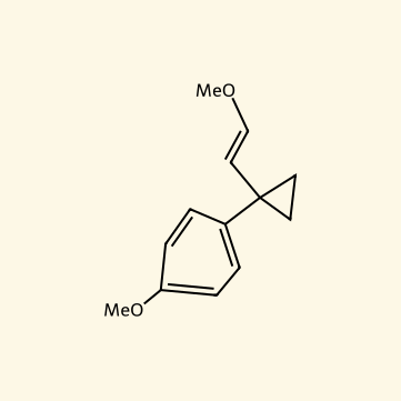 COC=CC1(c2ccc(OC)cc2)CC1